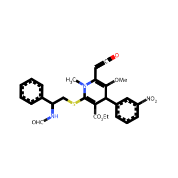 CCOC(=O)C1=C(SCC(NC=O)c2ccccc2)N(C)C(C=C=O)=C(OC)C1c1cccc([N+](=O)[O-])c1